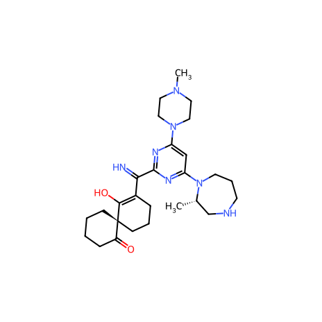 C[C@H]1CNCCCN1c1cc(N2CCN(C)CC2)nc(C(=N)C2=C(O)[C@]3(CCCCC3=O)CCC2)n1